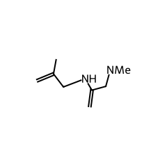 C=C(C)CNC(=C)CNC